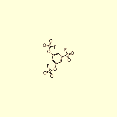 O=S(=O)(F)Oc1cc(OS(=O)(=O)F)cc(S(=O)(=O)F)c1